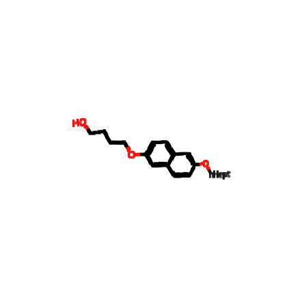 CCCCCCCOc1ccc2cc(OCCCCO)ccc2c1